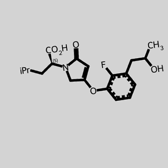 CC(C)C[C@@H](C(=O)O)N1CC(Oc2cccc(CC(C)O)c2F)=CC1=O